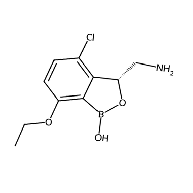 CCOc1ccc(Cl)c2c1B(O)O[C@H]2CN